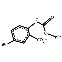 CCCCc1ccc(NC(=O)OCCC)c(C(=O)O)c1